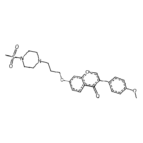 COc1ccc(-c2coc3cc(OCCCN4CCN(S(C)(=O)=O)CC4)ccc3c2=O)cc1